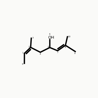 CC=C(C)CC(O)C=C(C)C